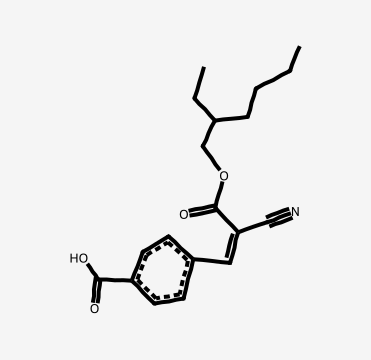 CCCCC(CC)COC(=O)/C(C#N)=C\c1ccc(C(=O)O)cc1